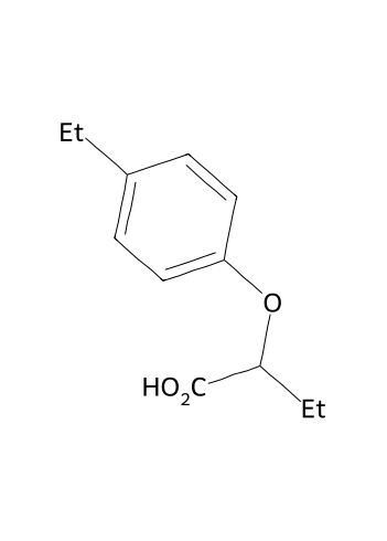 CCc1ccc(OC(CC)C(=O)O)cc1